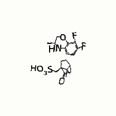 CC1(C)C2CCC1(CS(=O)(=O)O)C(=O)C2.C[C@H]1COc2c(ccc(F)c2F)N1